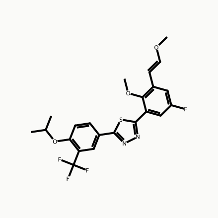 COC=Cc1cc(F)cc(-c2nnc(-c3ccc(OC(C)C)c(C(F)(F)F)c3)s2)c1OC